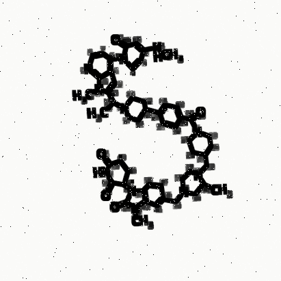 CNc1ccn(-c2ccnc3c2cc([C@H](C)N2CCC(c4ccc(C(=O)N5CCC(CN6CCN(Cc7ccc8c(c7)n(C)c(=O)n8C7CCC(=O)NC7=O)C[C@@H]6C)CC5)cc4)CC2)n3C)c(=O)c1